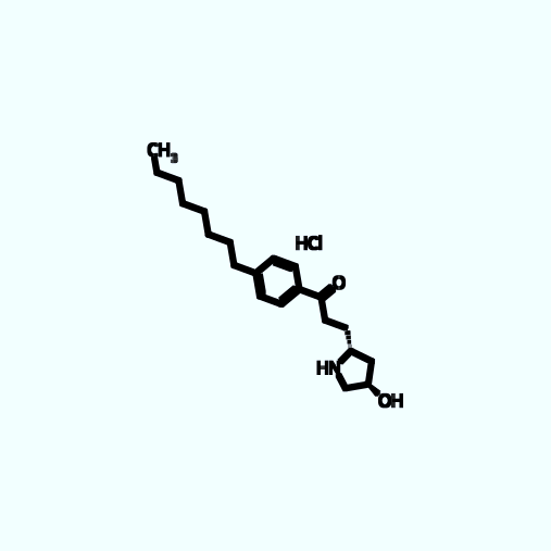 CCCCCCCCc1ccc(C(=O)CC[C@@H]2C[C@@H](O)CN2)cc1.Cl